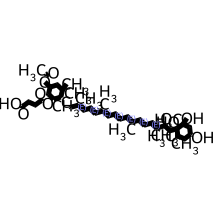 CC(=O)OC1CC(C)(C)C(=C=C/C(C)=C/C=C/C(C)=C/C=C/C=C(C)/C=C/C=C(\C)C(=O)CC2(O)C(C)(C)CC(O)CC2(C)O)C(C)(OC(=O)CCC(=O)O)C1